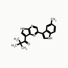 Cc1ccc2[nH]cc(-c3cnc4[nH]cc(C(=O)C(C)(C)C)c4n3)c2c1